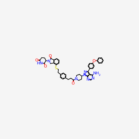 Nc1ncnc2c1c(-c1ccc(Oc3ccccc3)cc1)nn2C1CCN(C(=O)CCc2ccc(CCSc3cccc4c3CN(C3CCC(=O)NC3=O)C4=O)cc2)CC1